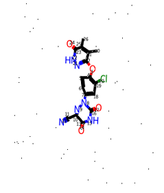 Cc1c(Oc2ccc(-n3nc(C#N)c(=O)[nH]c3=O)cc2Cl)n[nH]c(=O)c1C